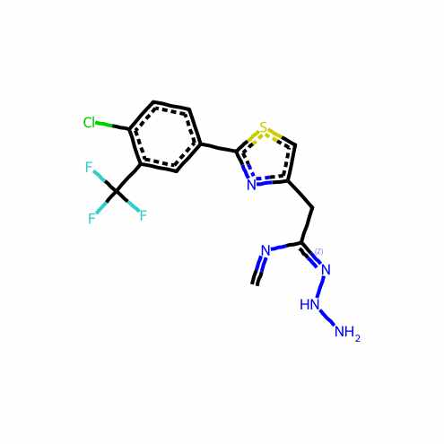 C=N/C(Cc1csc(-c2ccc(Cl)c(C(F)(F)F)c2)n1)=N\NN